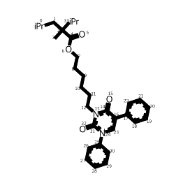 CC(C)CC(C)(C(=O)OCCCCCCn1c(=O)c(-c2ccccc2)cn(-c2ccccc2)c1=O)C(C)C